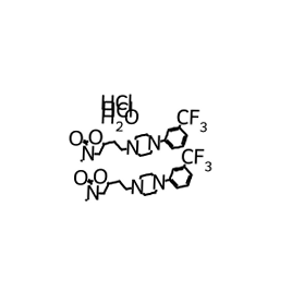 CN1CC(CCN2CCN(c3cccc(C(F)(F)F)c3)CC2)OC1=O.CN1CC(CCN2CCN(c3cccc(C(F)(F)F)c3)CC2)OC1=O.Cl.Cl.O